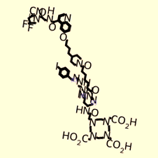 N#C[C@H]1CC(F)(F)CN1C(=O)CNC(=O)c1ccnc2ccc(OCCCCC3CCN(C(=O)CCCCCC(=O)N/N=C\C(C/C=N/NCN/N=C/c4ccc(I)cc4)NC(=O)CN4CCN(CC(=O)O)CCN(CC(=O)O)CCN(CC(=O)O)CC4)CC3)cc12